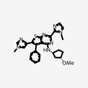 CO[C@H]1CC[C@@H](Nc2nc(-c3nccn3C)nc3sc(-c4cn(C)cn4)c(-c4ccccc4)c23)C1